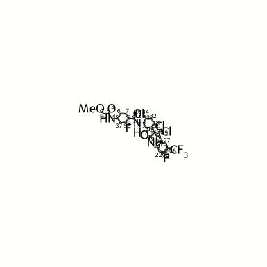 COCC(=O)Nc1ccc(C(=O)Nc2cc(C3(C(N)=O)C(c4ccc(F)c(C(F)(F)F)c4)C3(Cl)Cl)ccc2Cl)c(F)c1